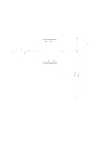 CCN1Cc2cc(N)ccc2C2(CC2)C1